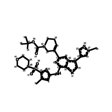 Cc1cc(Nc2nc(C3=CCCN(C(=O)OC(C)(C)C)C3)cn3c(-c4cnn(C)c4)cnc23)sc1S(=O)(=O)N1CCOCC1